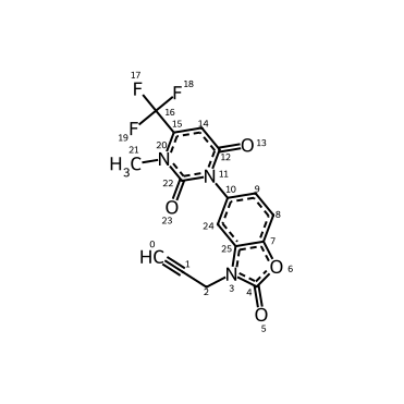 C#CCn1c(=O)oc2ccc(-n3c(=O)cc(C(F)(F)F)n(C)c3=O)cc21